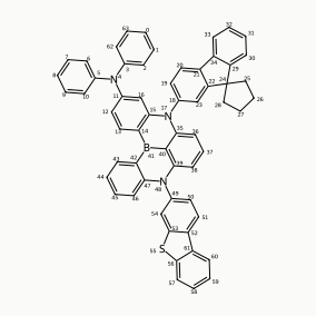 c1ccc(N(c2ccccc2)c2ccc3c(c2)N(c2ccc4c(c2)C2(CCCC2)c2ccccc2-4)c2cccc4c2B3c2ccccc2N4c2ccc3c(c2)sc2ccccc23)cc1